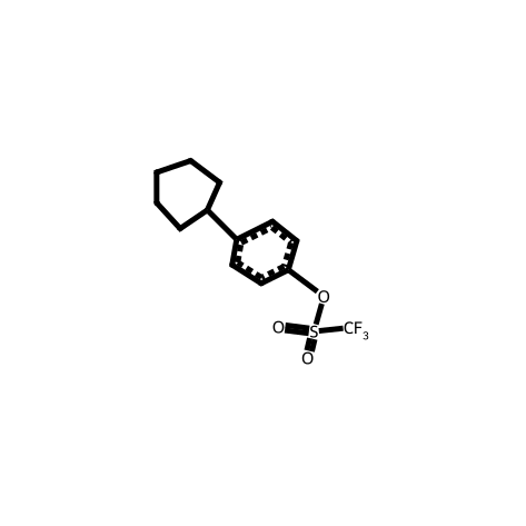 O=S(=O)(Oc1ccc(C2CCCCC2)cc1)C(F)(F)F